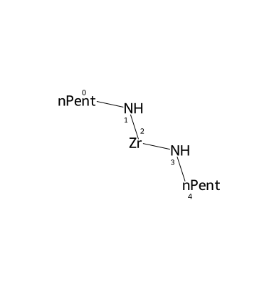 CCCCC[NH][Zr][NH]CCCCC